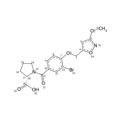 COc1cc(COc2ccc(C(=O)N3CCC[C@H]3C(=O)O)cc2Br)on1